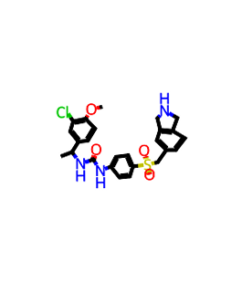 COc1ccc(C(C)NC(=O)Nc2ccc(S(=O)(=O)Cc3ccc4c(c3)CNC4)cc2)cc1Cl